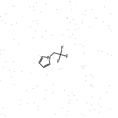 FC(F)(F)Cn1[c]ccc1